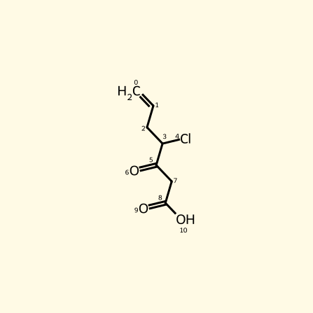 C=CCC(Cl)C(=O)CC(=O)O